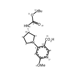 COc1cc(N2CC[C@H](NC(=O)OC(C)(C)C)C2)c(C(=O)O)cn1